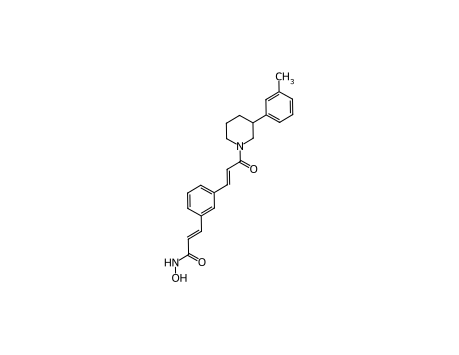 Cc1cccc(C2CCCN(C(=O)/C=C/c3cccc(/C=C/C(=O)NO)c3)C2)c1